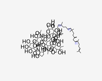 C=C(C/C=C(\C)CCC=C(C)C)CCC(C)(C)/C=C/CC/C(C)=C\CCO[C@@H](C)COP(=O)(O)OC1OC(C)C(C)(O)C(C=O)C1OC1OC(COC2OC(CO)C(O)C(O)C2O)C(OC2OC(C)C(OC3OC(C(=O)NC4=C(O)CCC4=O)C(O)C(O)C3O)C(O)C2NC(C)=O)C(O)C1NC(C)=O